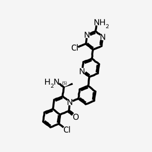 C[C@H](N)c1cc2cccc(Cl)c2c(=O)n1-c1cccc(-c2ccc(-c3cnc(N)nc3Cl)cn2)c1